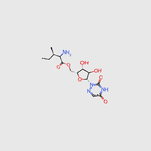 CC[C@@H](C)[C@@H](N)C(=O)OC[C@H]1O[C@@H](n2ncc(=O)[nH]c2=O)C(O)[C@H]1O